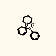 [O-][S+](c1ccccc1)C1(N2CCCCC2)C=CC=CC1